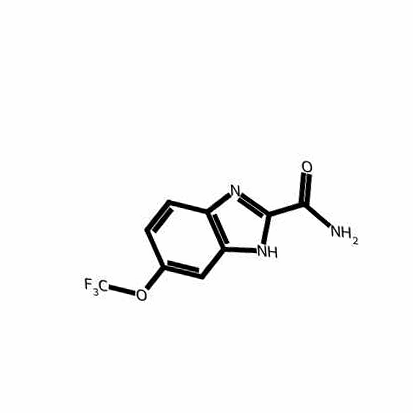 NC(=O)c1nc2ccc(OC(F)(F)F)cc2[nH]1